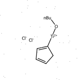 CCCC[O][Ti+2][C]1=CC=CC1.[Cl-].[Cl-]